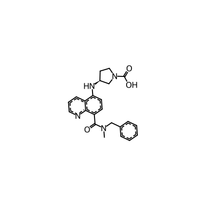 CN(Cc1ccccc1)C(=O)c1ccc(N[C@H]2CCN(C(=O)O)C2)c2cccnc12